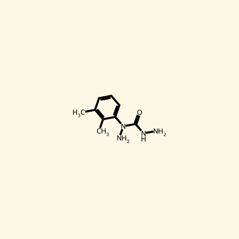 Cc1cccc(N(N)C(=O)NN)c1C